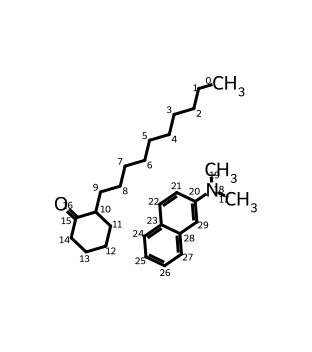 CCCCCCCCCCC1CCCCC1=O.CN(C)c1ccc2ccccc2c1